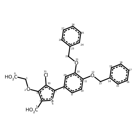 O=C(O)COc1c(C(=O)O)sc(-c2ccc(OCc3ccccc3)c(OCc3ccccc3)c2)c1Cl